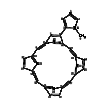 Cn1cncc1C1=CC2=CC3=NC(=CC4=NC(=CC5=NC(=CC1=N2)C=C5)C=C4)C=C3